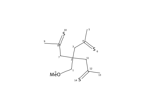 COCC(CC(C)=S)(CC(C)=S)CC(C)=S